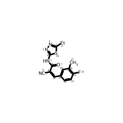 CCc1nnc(NC(=O)C(C#N)=Cc2ccc(F)c(C)c2)s1